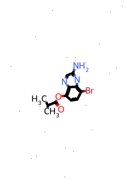 CC(C)C(=O)Oc1ccc(Br)c2nc(N)cnc12